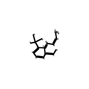 C/C=C1/C=CC=C(C(C)(C)C)/C1=N/C=C\N